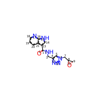 O=C(NCc1cn(CC2CO2)nn1)c1c[nH]c2ncccc12